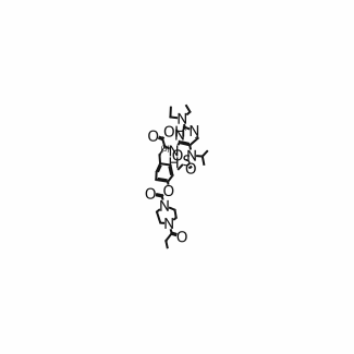 CCC(=O)N1CCN(C(=O)Oc2ccc(C[C@H](Nc3nc(N(CC)CC)ncc3N(C(C)C)S(C)(=O)=O)C(=O)O)cc2)CC1